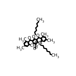 CCCCCCCCOc1c(P=O)cc(C(=O)c2c(C)cc(C)cc2C)c(OCCCCCCCC)c1C(=O)c1c(C)cc(C)cc1C